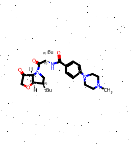 CC[C@H](C)[C@H](NC(=O)c1ccc(N2CCN(C)CC2)cc1)C(=O)N1C[C@@H](C(C)(C)C)[C@H]2OCC(=O)[C@H]21